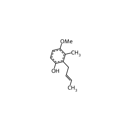 CC=CCc1c(O)ccc(OC)c1C